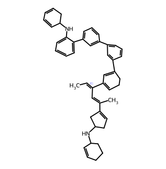 C/C=C(\C=C(C)C1=CCC(NC2C=CCCC2)C1)C1=CCCC(c2cccc(-c3cccc(-c4ccccc4NC4C=CC=CC4)c3)c2)=C1